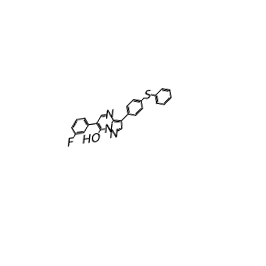 Oc1c(-c2cccc(F)c2)cnc2c(-c3ccc(Sc4ccccc4)cc3)cnn12